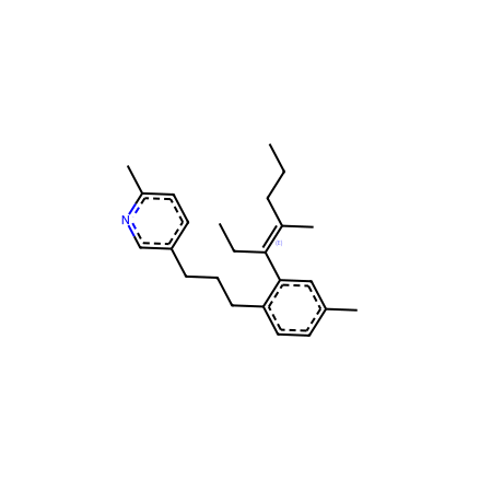 CCC/C(C)=C(\CC)c1cc(C)ccc1CCCc1ccc(C)nc1